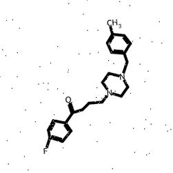 Cc1ccc(CN2CCN(CCCC(=O)c3ccc(F)cc3)CC2)cc1